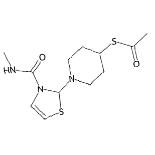 CNC(=O)N1C=CSC1N1CCC(SC(C)=O)CC1